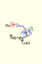 COc1cc(NCc2cnc(Cl)nc2NCCCN2CCN(C(=O)OC(C)(C)C)CC2)cc(OC)c1